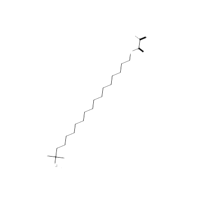 C=C(C)C(=O)OCCCCCCCCCCCCCCCCC([SiH3])(I)I